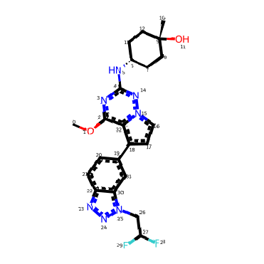 COc1nc(N[C@H]2CC[C@@](C)(O)CC2)nn2ccc(-c3ccc4nnn(CC(F)F)c4c3)c12